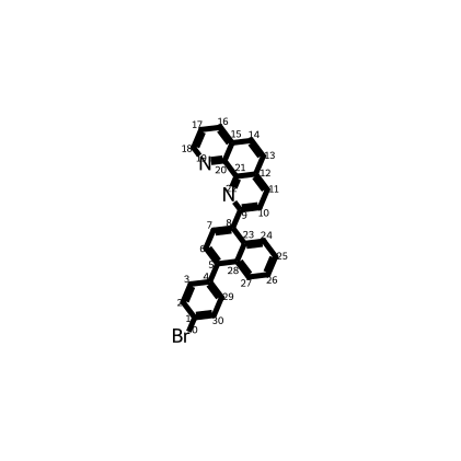 Brc1ccc(-c2ccc(-c3ccc4ccc5cccnc5c4n3)c3ccccc23)cc1